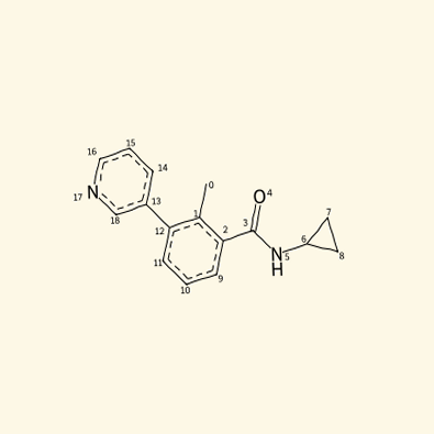 Cc1c(C(=O)NC2CC2)cccc1-c1cccnc1